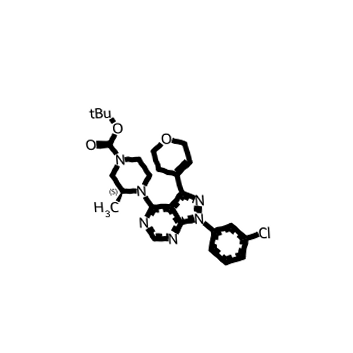 C[C@H]1CN(C(=O)OC(C)(C)C)CCN1c1ncnc2c1c(C1=CCOCC1)nn2-c1cccc(Cl)c1